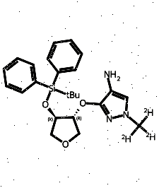 [2H]C([2H])([2H])n1cc(N)c(O[C@@H]2COC[C@H]2O[Si](c2ccccc2)(c2ccccc2)C(C)(C)C)n1